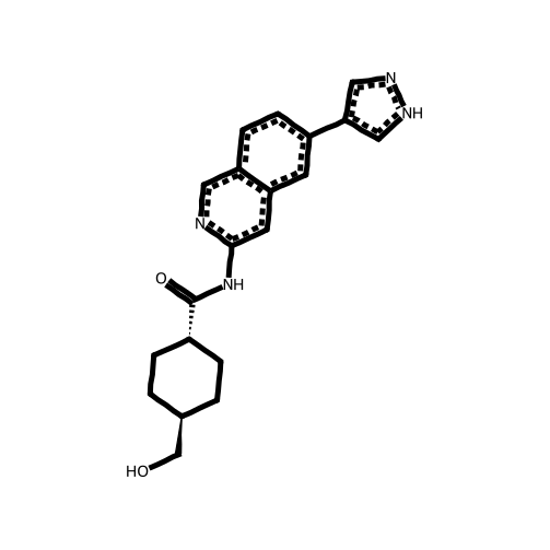 O=C(Nc1cc2cc(-c3cn[nH]c3)ccc2cn1)[C@H]1CC[C@H](CO)CC1